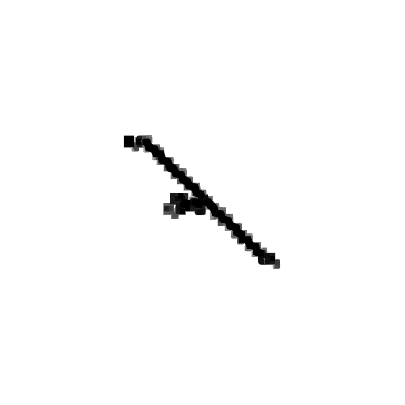 CCCCCCCC/C=C/CCCCCCCCN(CCCCCCCC/C=C/CCCCCCCC)C(=O)CNC(=N)N